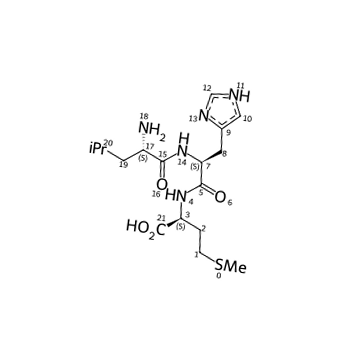 CSCC[C@H](NC(=O)[C@H](Cc1c[nH]cn1)NC(=O)[C@@H](N)CC(C)C)C(=O)O